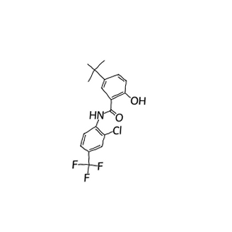 CC(C)(C)c1ccc(O)c(C(=O)Nc2ccc(C(F)(F)F)cc2Cl)c1